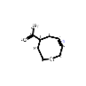 CC(C)C(=O)C1C/C=C\CCCC1